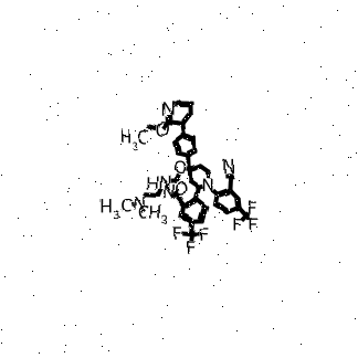 CCOc1ncccc1-c1ccc(C2(OC(=O)NCCN(C)C)CCN(c3ccc(C(F)(F)F)cc3C#N)C(c3ccc(C(F)(F)F)cc3C#N)C2)cc1